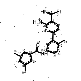 CCC(=N)c1ccc(-c2cc(NC(=O)c3cc(C)cc(C)c3)cnc2C)nc1N